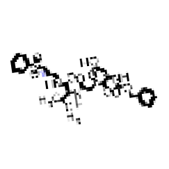 CC(C)[C@H](NC(=O)CNC(=O)[C@H](CC(=O)O)NC(=O)OCc1ccccc1)C(=O)NC/C=C/S(=O)(=O)c1ccccc1